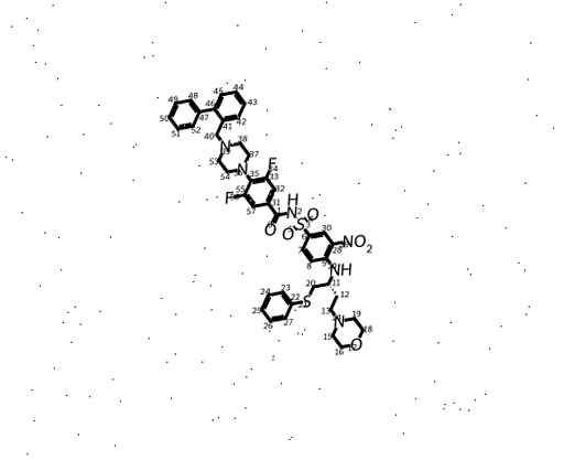 O=C(NS(=O)(=O)c1ccc(N[C@H](CCN2CCOCC2)CSc2ccccc2)c([N+](=O)[O-])c1)c1cc(F)c(N2CCN(Cc3ccccc3-c3ccccc3)CC2)c(F)c1